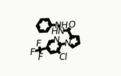 O=C(NNc1ccccc1)c1cccn1-c1ncc(C(F)(F)F)cc1Cl